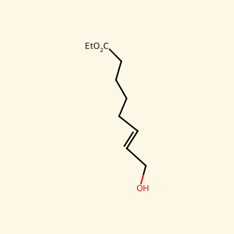 CCOC(=O)CCCCC=CCO